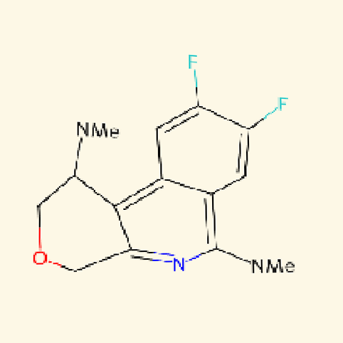 CNc1nc2c(c3cc(F)c(F)cc13)C(NC)COC2